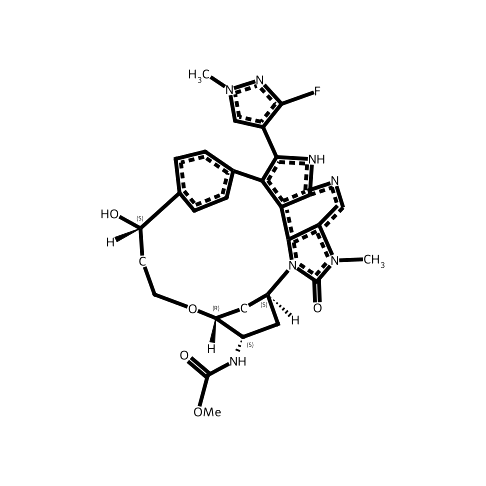 COC(=O)N[C@H]1C[C@H]2C[C@H]1OCC[C@H](O)c1ccc(cc1)-c1c(-c3cn(C)nc3F)[nH]c3ncc4c(c13)n2c(=O)n4C